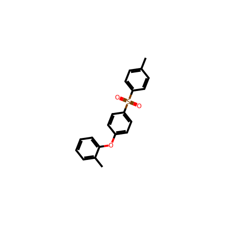 Cc1ccc(S(=O)(=O)c2ccc(Oc3ccccc3C)cc2)cc1